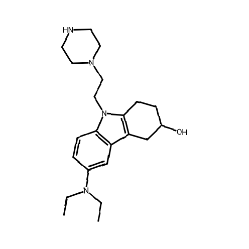 CCN(CC)c1ccc2c(c1)c1c(n2CCN2CCNCC2)CCC(O)C1